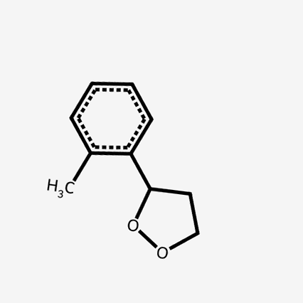 Cc1ccccc1C1CCOO1